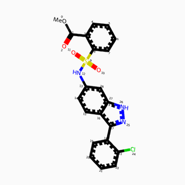 COC(=O)c1ccccc1S(=O)(=O)Nc1ccc2c(-c3ccccc3Cl)n[nH]c2c1